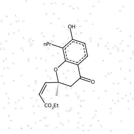 CCCc1c(O)ccc2c1O[C@](C)(/C=C\C(=O)OCC)CC2=O